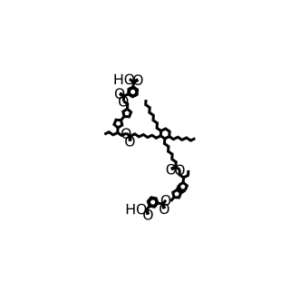 CCCCCCCCC1CCC(CCCCCC)C(CCCCCCC(=O)OCC(CC)C2CC3CC2C2CC(COC(=O)c4cccc(C(=O)O)c4)CC32)C1CCCCCCC(=O)OCC(CCC)C1CCC(C2CCC(COC(=O)c3cccc(C(=O)O)c3)C2)C1